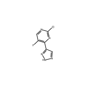 Fc1cnc(Cl)nc1-c1cn[nH]n1